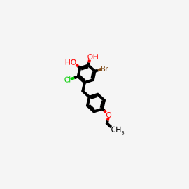 CCOc1ccc(Cc2cc(Br)c(O)c(O)c2Cl)cc1